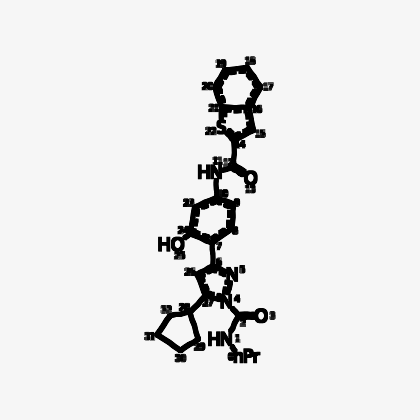 CCCNC(=O)n1nc(-c2ccc(NC(=O)c3cc4ccccc4s3)cc2O)cc1C1CCCC1